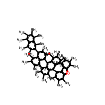 Bc1c(B)c(B)c2c(oc3c(B)c(B)c(B)c(-c4c5c(B)c(B)c(B)c(B)c5c(-c5c(B)c(B)c(-c6c(B)c(B)c7c(B)c(B)c(B)c(B)c7c6B)c6c(B)c(B)c(B)c(B)c56)c5c(B)c(B)c(B)c(B)c45)c32)c1B